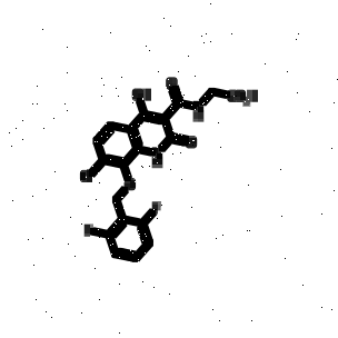 O=C(O)CNC(=O)c1c(O)c2ccc(Cl)c(OCc3c(F)cccc3F)c2[nH]c1=O